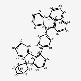 c1ccc(-c2ccccc2N(c2ccccc2)c2ccc(-c3cccc4c3-c3ccccc3C43CC4CCC3C4)cc2)cc1